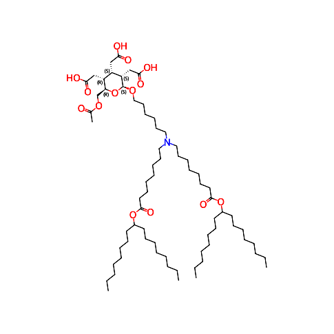 CCCCCCCCC(CCCCCCCC)OC(=O)CCCCCCCN(CCCCCCCC(=O)OC(CCCCCCCC)CCCCCCCC)CCCCCCO[C@H]1O[C@@H](COC(C)=O)[C@H](CC(=O)O)[C@H](CC(=O)O)[C@@H]1CC(=O)O